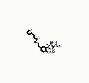 COc1ccc(CCNC(=O)/C=C/c2cccs2)cc1S(=O)(=O)N(S)C(=O)NC(C)C